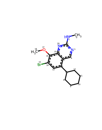 CNc1ncc2c(C3CCCCC3)cc(Br)c(OC)c2n1